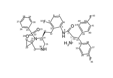 N[C@H](C(=O)Nc1cccc(F)c1CC[C@H]1CNCC2(CC2)N1S(=O)(=O)c1ccccc1)C(c1ccc(F)cc1)c1ccc(F)cc1